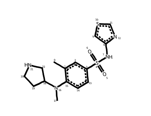 Cc1cc(S(=O)(=O)Nc2cscn2)ccc1N(C)C1CCNC1